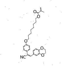 C=C(C)C(=O)OCCCCCCCCOc1ccc(C(C#N)=Cc2ccc3c(c2)OCCO3)cc1